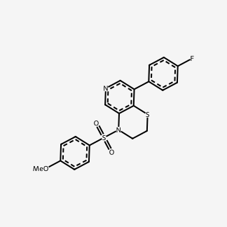 COc1ccc(S(=O)(=O)N2CCSc3c(-c4ccc(F)cc4)cncc32)cc1